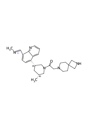 C/N=C/c1ccc([C@H]2C[C@@H](C)CN(C(=O)CN3CCC4(CC3)CNC4)C2)c2cccnc12